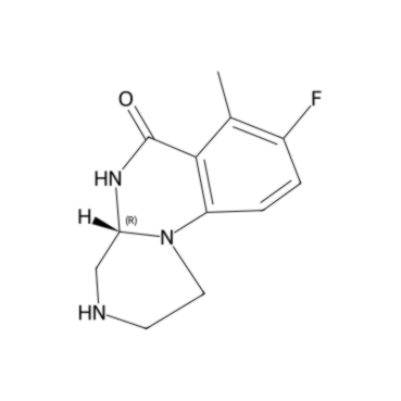 Cc1c(F)ccc2c1C(=O)N[C@H]1CNCCN21